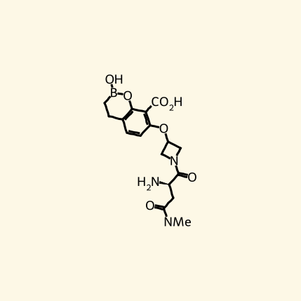 CNC(=O)C[C@@H](N)C(=O)N1CC(Oc2ccc3c(c2C(=O)O)OB(O)CC3)C1